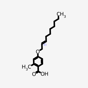 CCCCCCC/C=C/COc1ccc(C(=O)O)c(C)c1